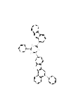 c1ccc(-c2nc(-c3ccc4c(c3)oc3c5ccccc5c(-c5ccccc5)cc43)nc(-c3cccc4c3oc3ccccc34)n2)cc1